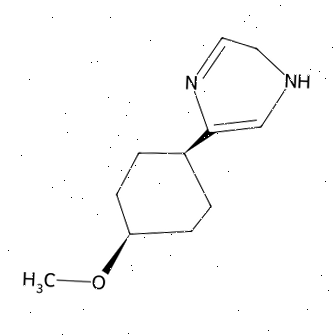 CO[C@H]1CC[C@@H](C2=CNCC=N2)CC1